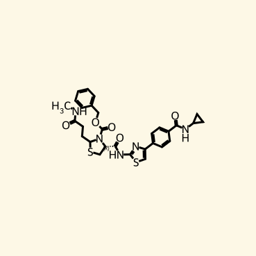 CNC(=O)CCC1SC[C@@H](C(=O)Nc2nc(-c3ccc(C(=O)NC4CC4)cc3)cs2)N1C(=O)OCc1ccccc1